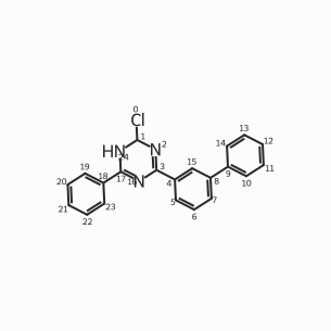 ClC1N=C(c2cccc(-c3ccccc3)c2)N=C(c2ccccc2)N1